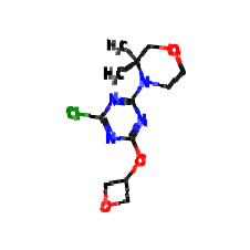 CC1(C)COCCN1c1nc(Cl)nc(OC2COC2)n1